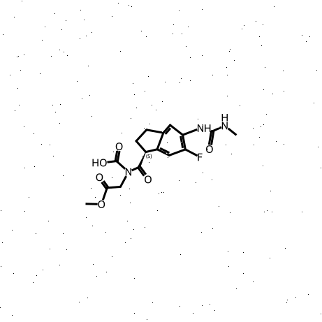 CNC(=O)Nc1cc2c(cc1F)[C@@H](C(=O)N(CC(=O)OC)C(=O)O)CC2